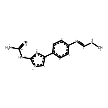 N#CN/C=N/c1ccc(-c2csc(NC(=N)N)n2)cc1